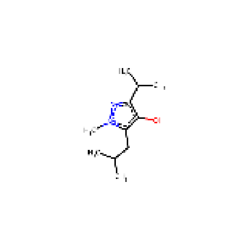 CC(C)Cc1c(O)c(C(C)C)nn1C